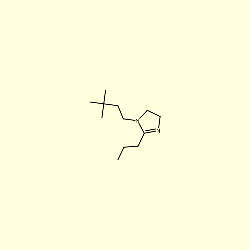 CCCC1=NCCN1CCC(C)(C)C